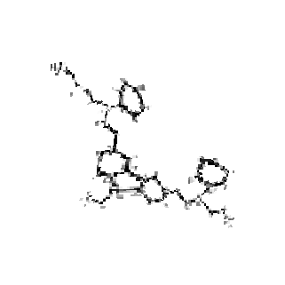 C=COCCN(/N=C/c1ccc2c(c1)c1cc(/C=N/N(CCO)c3ccccc3)ccc1n2CC)c1ccccc1